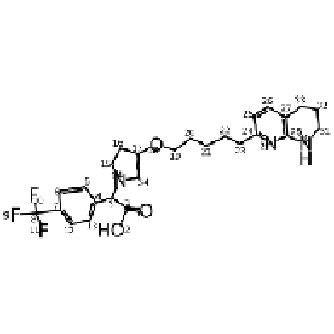 O=C(O)C(c1ccc(C(F)(F)F)cc1)N1CCC(OCCCCCc2ccc3c(n2)NCCC3)C1